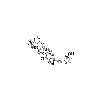 CS(=O)(=O)c1cccc(CC(NC(=O)c2c(Cl)cc3c(C#Cc4cccc(O)c4)nsc3c2Cl)C(=O)O)c1